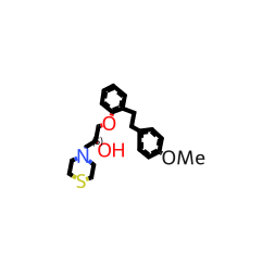 COc1ccc(CCc2ccccc2OC[C@@H](O)CN2CCSCC2)cc1